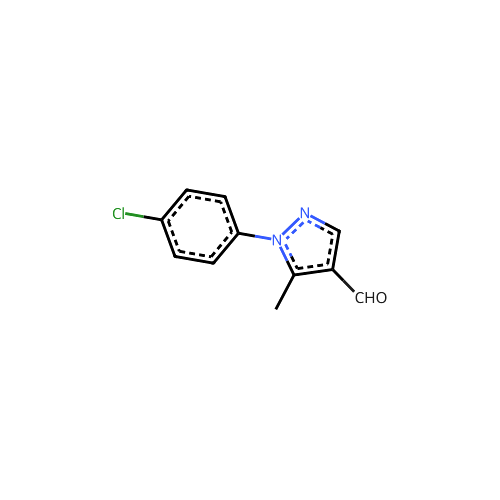 Cc1c(C=O)cnn1-c1ccc(Cl)cc1